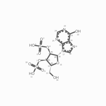 O=S(=O)(O)O[C@@H]1[C@H](OS(=O)(=O)O)[C@@H](CO)O[C@H]1n1cnc2c(O)ncnc21